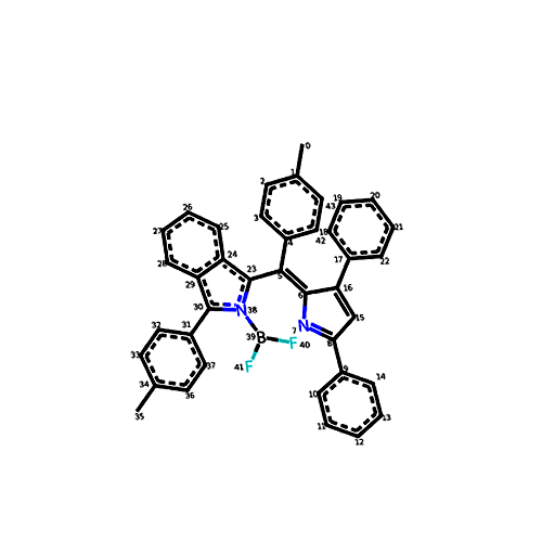 Cc1ccc(/C(=C2/N=C(c3ccccc3)C=C2c2ccccc2)c2c3ccccc3c(-c3ccc(C)cc3)n2B(F)F)cc1